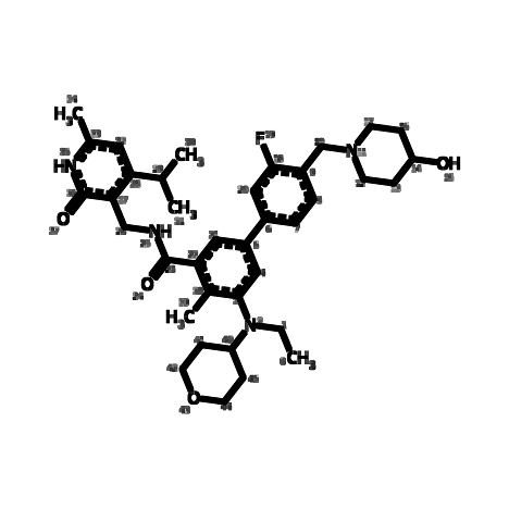 CCN(c1cc(-c2ccc(CN3CCC(O)CC3)c(F)c2)cc(C(=O)NCc2c(C(C)C)cc(C)[nH]c2=O)c1C)C1CCOCC1